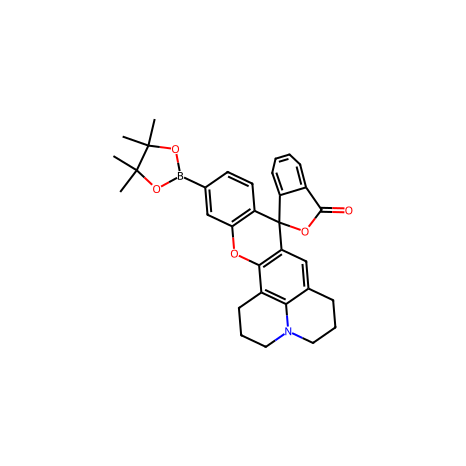 CC1(C)OB(c2ccc3c(c2)Oc2c(cc4c5c2CCCN5CCC4)C32OC(=O)c3ccccc32)OC1(C)C